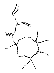 C=CC(=O)NC1(C)CC(C)(C)N(C)C(C)(C)C1